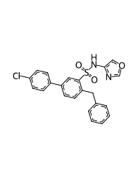 O=S(=O)(Nc1cocn1)c1cc(-c2ccc(Cl)cc2)ccc1Cc1ccccc1